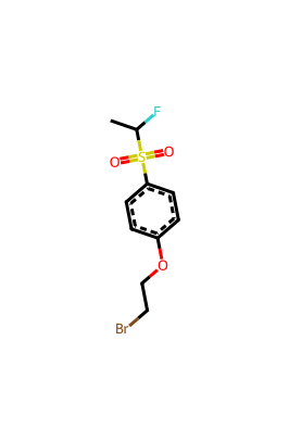 CC(F)S(=O)(=O)c1ccc(OCCBr)cc1